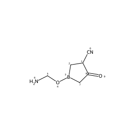 N#CC1CB(OCN)CC1=O